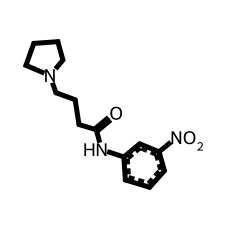 O=C(CCCN1CCCC1)Nc1cccc([N+](=O)[O-])c1